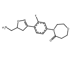 NCC1CC(c2ccc(N3CCOCCC3=O)cc2F)=NO1